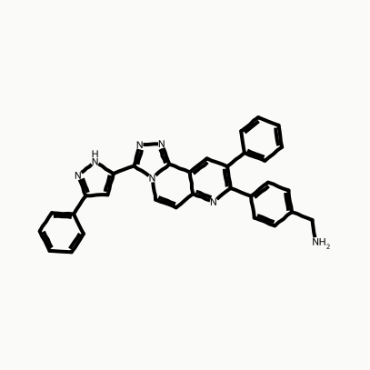 NCc1ccc(-c2nc3ccn4c(-c5cc(-c6ccccc6)n[nH]5)nnc4c3cc2-c2ccccc2)cc1